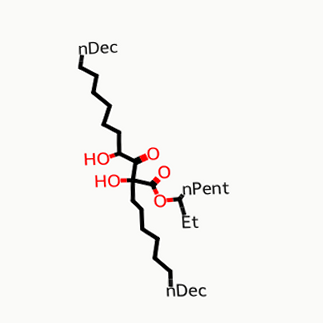 CCCCCCCCCCCCCCCCC(O)C(=O)C(O)(CCCCCCCCCCCCCCCC)C(=O)OC(CC)CCCCC